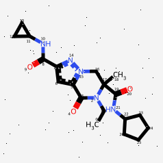 CCN1C(=O)c2cc(C(=O)NC3CC3)nn2CC1(C)C(=O)NC1CCCC1